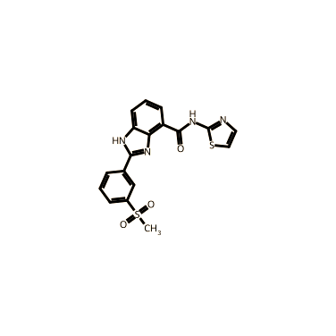 CS(=O)(=O)c1cccc(-c2nc3c(C(=O)Nc4nccs4)cccc3[nH]2)c1